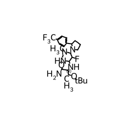 CC(OC(C)(C)C)[C@@H](NC1NCN(C)C(N2CCCC2c2ccc(C(F)(F)F)cc2)C1F)C(N)=O